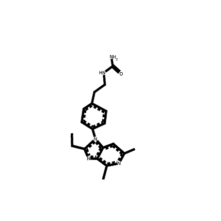 CCc1nc2c(C)nc(C)cc2n1-c1ccc(CCNC(N)=O)cc1